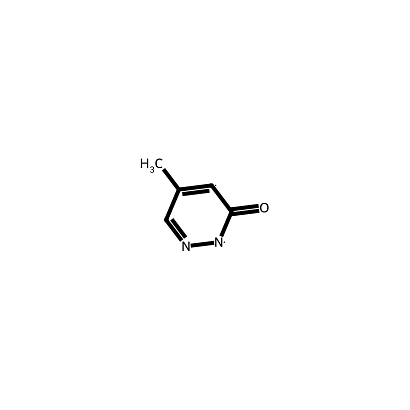 CC1=[C]C(=O)[N]N=C1